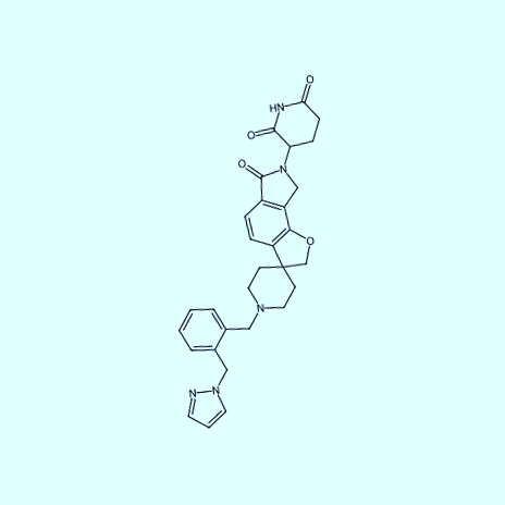 O=C1CCC(N2Cc3c(ccc4c3OCC43CCN(Cc4ccccc4Cn4cccn4)CC3)C2=O)C(=O)N1